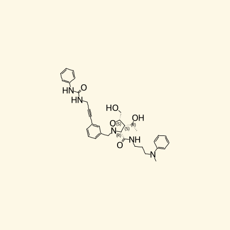 C[C@@H](O)[C@H]1[C@@H](CO)ON(Cc2cccc(C#CCNC(=O)Nc3ccccc3)c2)[C@H]1C(=O)NCCCN(C)c1ccccc1